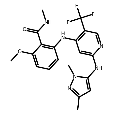 CNC(=O)c1c(Nc2cc(Nc3cc(C)nn3C)ncc2C(F)(F)F)cccc1OC